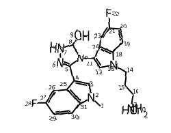 Cl.Cn1cc(C2=NNC(O)N2c2cn(CCCN)c3ccc(F)cc23)c2cc(F)ccc21